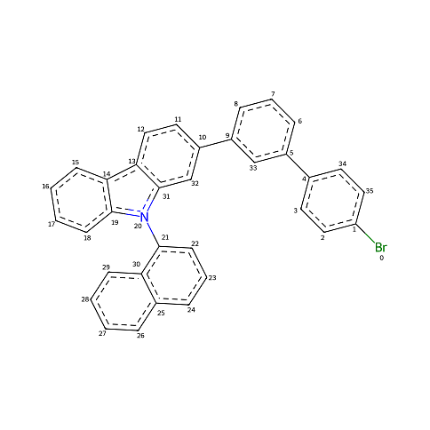 Brc1ccc(-c2cccc(-c3ccc4c5ccccc5n(-c5cccc6ccccc56)c4c3)c2)cc1